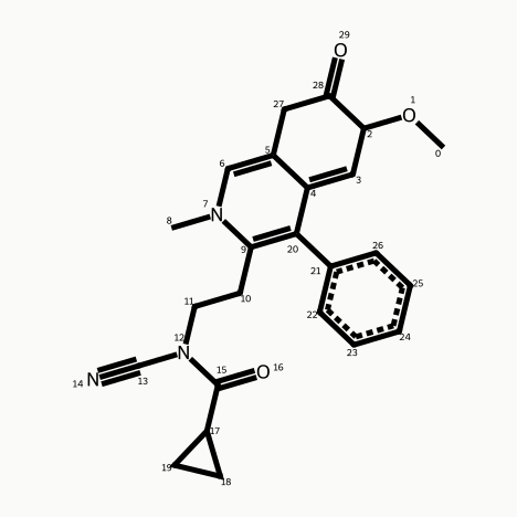 COC1C=C2C(=CN(C)C(CCN(C#N)C(=O)C3CC3)=C2c2ccccc2)CC1=O